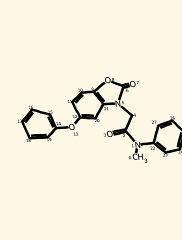 CN(C(=O)Cn1c(=O)oc2ccc(Oc3ccccc3)cc21)c1ccccc1